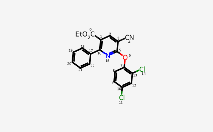 CCOC(=O)c1cc(C#N)c(Oc2ccc(Cl)cc2Cl)nc1-c1ccccc1